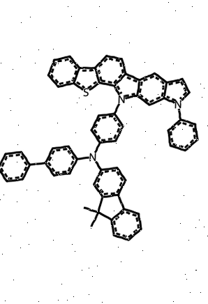 CC1(C)c2ccccc2-c2ccc(N(c3ccc(-c4ccccc4)cc3)c3ccc(-n4c5cc6c(ccn6-c6ccccc6)cc5c5ccc6c7ccccc7sc6c54)cc3)cc21